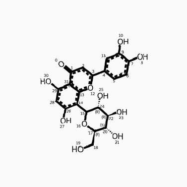 O=c1cc(-c2ccc(O)c(O)c2)oc2c(C3O[C@H](CO)[C@@H](O)[C@H](O)[C@H]3O)c(O)cc(O)c12